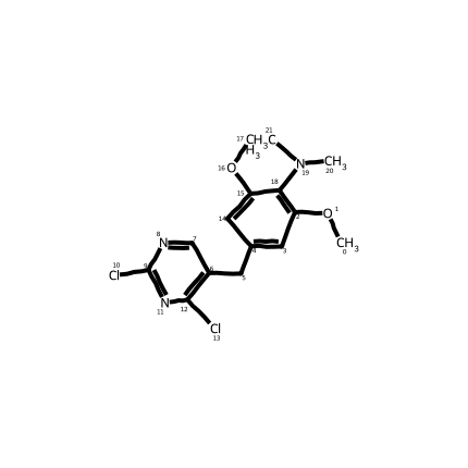 COc1cc(Cc2cnc(Cl)nc2Cl)cc(OC)c1N(C)C